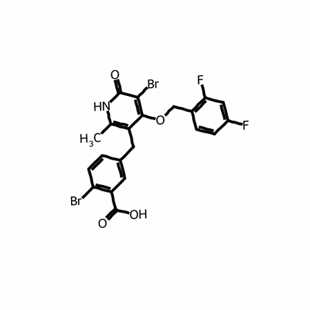 Cc1[nH]c(=O)c(Br)c(OCc2ccc(F)cc2F)c1Cc1ccc(Br)c(C(=O)O)c1